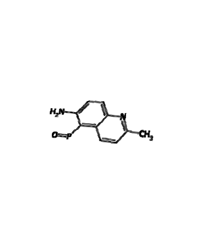 Cc1ccc2c(P=O)c(N)ccc2n1